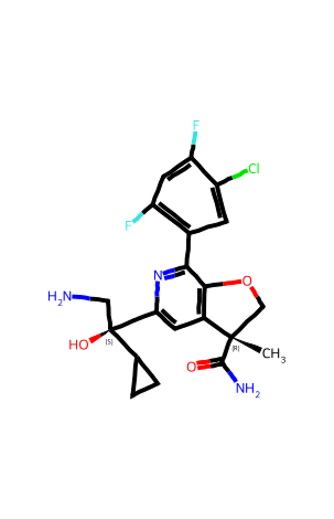 C[C@]1(C(N)=O)COc2c1cc([C@@](O)(CN)C1CC1)nc2-c1cc(Cl)c(F)cc1F